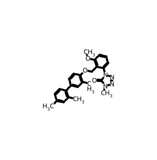 COc1cccc(-n2nnn(C)c2=O)c1COc1ccc(-c2ccc(C)cc2C)cc1C